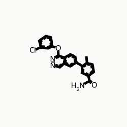 Cc1ccc(C(N)=O)cc1-c1ccc2c(Oc3cccc(Cl)c3)nncc2c1